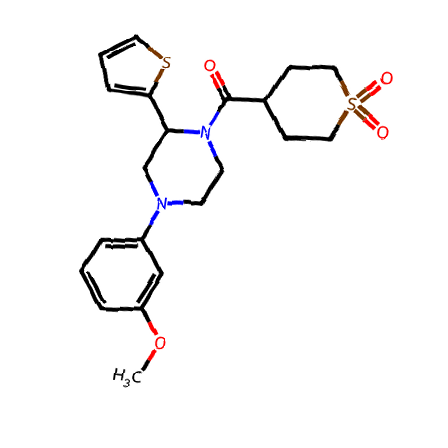 COc1cccc(N2CCN(C(=O)C3CCS(=O)(=O)CC3)C(c3cccs3)C2)c1